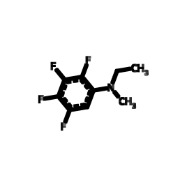 CCN(C)c1cc(F)c(F)c(F)c1F